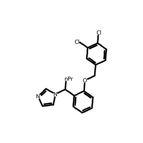 CCCC(c1ccccc1OCc1ccc(Cl)c(Cl)c1)n1ccnc1